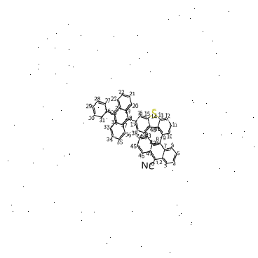 N#Cc1c2ccccc2c(-c2cccc3sc4cc(-c5c6ccccc6c(C6C=CC=CC6)c6ccccc56)ccc4c23)c2ccccc12